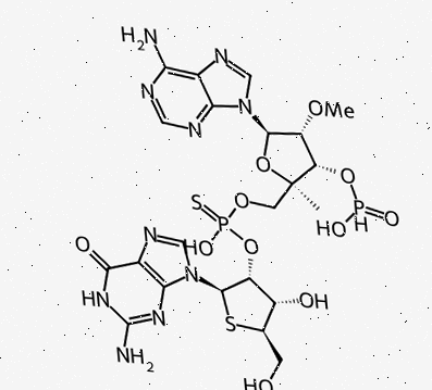 CO[C@H]1[C@H](n2cnc3c(N)ncnc32)O[C@](C)(COP(O)(=S)O[C@@H]2[C@H](O)[C@@H](CO)S[C@H]2n2cnc3c(=O)[nH]c(N)nc32)[C@H]1O[PH](=O)O